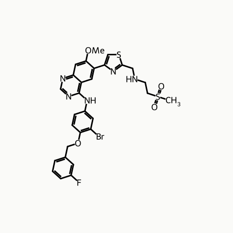 COc1cc2ncnc(Nc3ccc(OCc4cccc(F)c4)c(Br)c3)c2cc1-c1csc(CNCCS(C)(=O)=O)n1